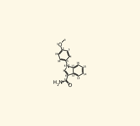 COc1ccc(-n2cc(C(N)=O)c3ccccc32)cc1